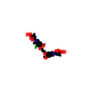 COc1cc2c(cc1OCCCOc1c(OC)cc3c(c1F)C(C)N(C(=O)C[C@H](C)C(=O)O)C3)CN(C(=O)C[C@H](C)C(=O)O)C2